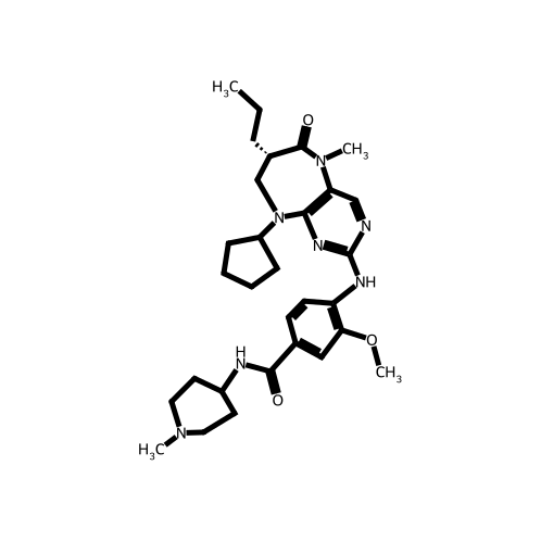 CCC[C@H]1CN(C2CCCC2)c2nc(Nc3ccc(C(=O)NC4CCN(C)CC4)cc3OC)ncc2N(C)C1=O